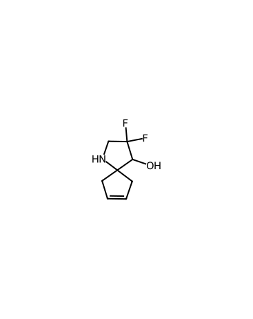 OC1C(F)(F)CNC12CC=CC2